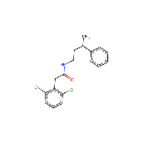 CC(CCNC(=O)Cc1c(Cl)cccc1Cl)c1ccccc1